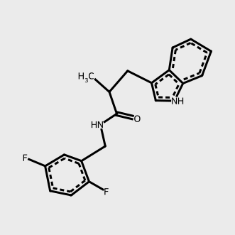 CC(Cc1c[nH]c2ccccc12)C(=O)NCc1cc(F)ccc1F